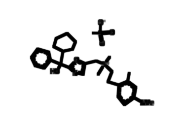 CNc1ccc(CC[N+](C)(C)Cc2cnc(C(O)(c3ccccc3)C3CCCCC3)o2)c(C)c1.CS(=O)(=O)[O-]